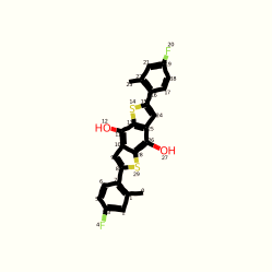 Cc1cc(F)ccc1-c1cc2c(O)c3sc(-c4ccc(F)cc4C)cc3c(O)c2s1